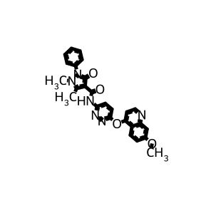 COc1ccc2c(Oc3ccc(NC(=O)c4c(C)n(C)n(-c5ccccc5)c4=O)nn3)ccnc2c1